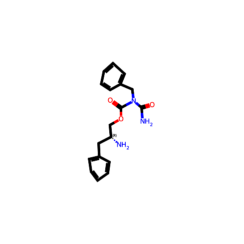 NC(=O)N(Cc1ccccc1)C(=O)OC[C@H](N)Cc1ccccc1